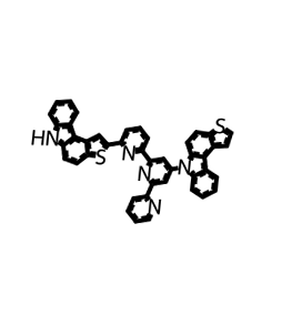 c1ccc(-c2cc(-n3c4ccccc4c4c5ccsc5ccc43)cc(-c3cccc(-c4cc5c(ccc6[nH]c7ccccc7c65)s4)n3)n2)nc1